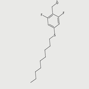 CCCCCCCCCSc1cc(F)c(COC)c(F)c1